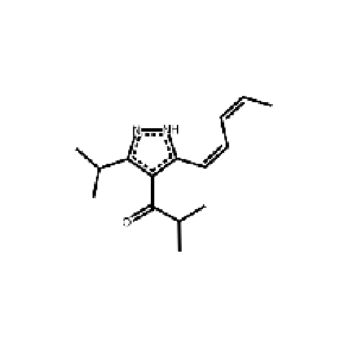 C/C=C\C=C/c1[nH]nc(C(C)C)c1C(=O)C(C)C